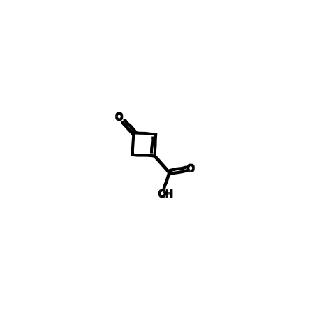 O=C1C=C(C(=O)O)C1